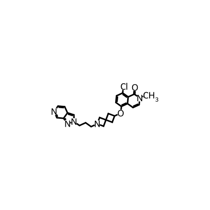 Cn1ccc2c(OC3CC4(C3)CN(CCCn3cc5ccncc5n3)C4)ccc(Cl)c2c1=O